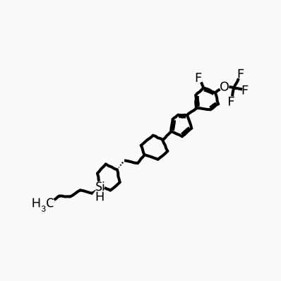 CCCCC[Si@H]1CC[C@H](CCC2CCC(c3ccc(-c4ccc(OC(F)(F)F)c(F)c4)cc3)CC2)CC1